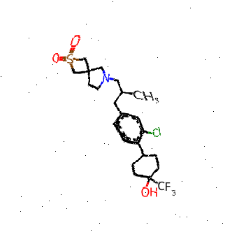 C[C@@H](Cc1ccc(C2CCC(O)(C(F)(F)F)CC2)c(Cl)c1)CN1CCC2(C1)CS(=O)(=O)C2